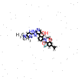 CN(C)c1ccc(-c2nc3c(-c4cccc(N5CCOc6cc(C7CC7)cc(F)c6C5=O)c4CO)ccnc3[nH]2)nc1